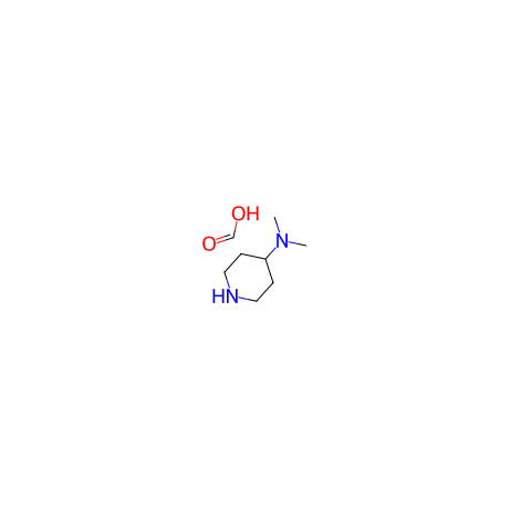 CN(C)C1CCNCC1.O=CO